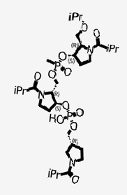 CC(C)OC[C@@H]1[C@@H](OP(C)(=O)OC[C@@H]2[C@@H](OP(=O)(O)OC[C@@H]3CCN(C(=O)C(C)C)C3)CCN2C(=O)C(C)C)CCN1C(=O)C(C)C